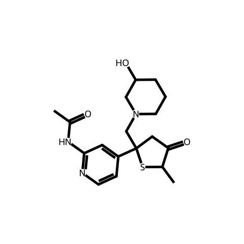 CC(=O)Nc1cc(C2(CN3CCCC(O)C3)CC(=O)C(C)S2)ccn1